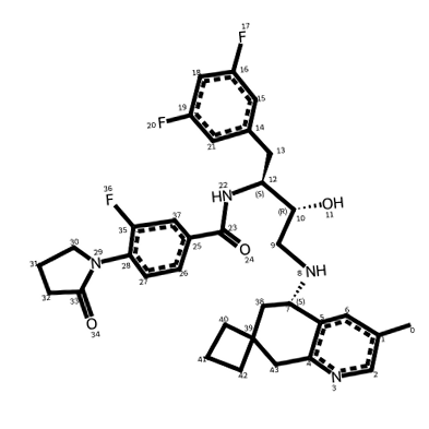 Cc1cnc2c(c1)[C@@H](NC[C@@H](O)[C@H](Cc1cc(F)cc(F)c1)NC(=O)c1ccc(N3CCCC3=O)c(F)c1)CC1(CCC1)C2